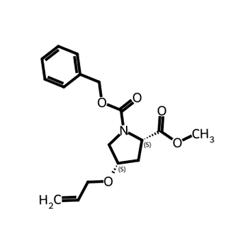 C=CCO[C@H]1C[C@@H](C(=O)OC)N(C(=O)OCc2ccccc2)C1